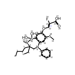 CCCCC1(CC)CN(c2ccccc2)c2cc(SC)c(O/C=C(\F)C(=O)O)cc2S(O)(O)N1C